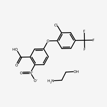 NCCO.O=C(O)c1cc(Oc2ccc(C(F)(F)F)cc2Cl)ccc1[N+](=O)[O-]